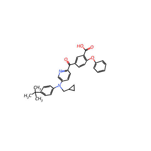 CC(C)(C)c1ccc(N(CC2CC2)c2ccc(C(=O)c3ccc(Oc4ccccc4)c(C(=O)O)c3)nc2)cc1